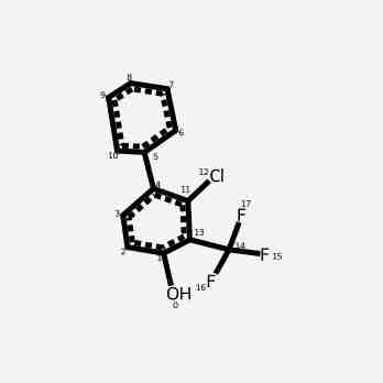 Oc1ccc(-c2ccccc2)c(Cl)c1C(F)(F)F